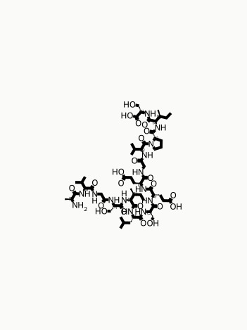 CC[C@H](C)[C@H](NC(=O)[C@H](CO)NC(=O)CNC(=O)[C@@H](NC(=O)[C@H](C)N)C(C)C)C(=O)N[C@@H](CC(C)C)C(=O)N[C@@H](CO)C(=O)N[C@@H](CCC(=O)O)C(=O)N[C@@H](CCC(=O)O)C(=O)NCC(=O)N[C@H](C(=O)N1CCC[C@H]1C(=O)N[C@H](C(=O)N[C@@H](CO)C(=O)O)[C@@H](C)CC)C(C)C